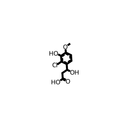 COc1ccc(C(O)CC(=O)O)c(Cl)c1O